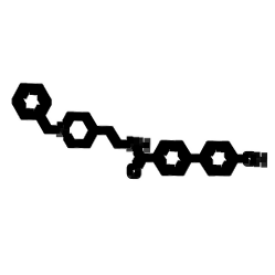 O=C(NCCC1CCN(Cc2ccccc2)CC1)c1ccc(-c2ccc(O)cc2)cc1